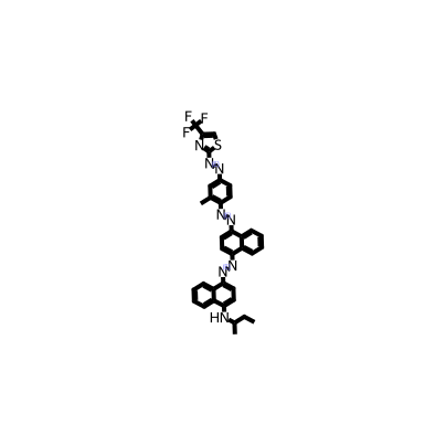 CCC(C)Nc1ccc(/N=N/c2ccc(/N=N/c3ccc(/N=N/c4nc(C(F)(F)F)cs4)cc3C)c3ccccc23)c2ccccc12